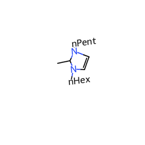 CCCCCCN1C=CN(CCCCC)C1C